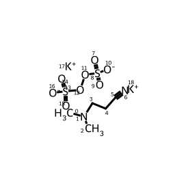 CN(C)CCC#N.O=S(=O)([O-])OOS(=O)(=O)[O-].[K+].[K+]